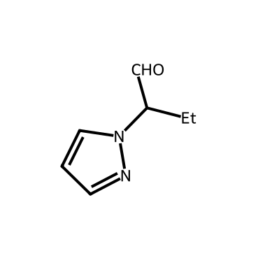 CCC(C=O)n1cccn1